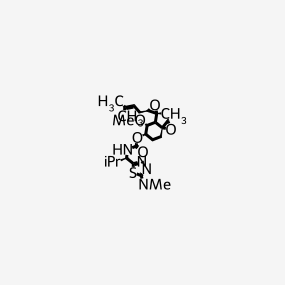 CNc1nnc([C@H](NC(=O)O[C@@H]2CC[C@]3(CO3)C([C@@]3(C)O[C@@H]3CC=C(C)C)[C@@H]2OC)C(C)C)s1